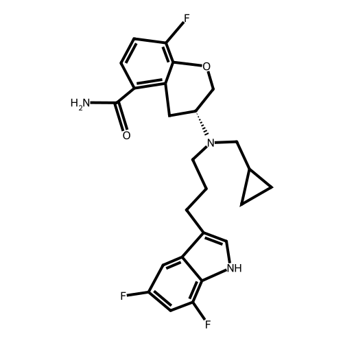 NC(=O)c1ccc(F)c2c1C[C@@H](N(CCCc1c[nH]c3c(F)cc(F)cc13)CC1CC1)CO2